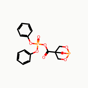 O=C(OP(=O)(Oc1ccccc1)Oc1ccccc1)C12COP(OC1)OC2